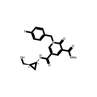 CNC(=O)c1cc(C(=O)N[C@@H]2C[C@H]2CO)cn(Cc2ccc(F)cc2)c1=O